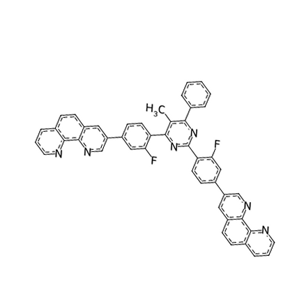 Cc1c(-c2ccccc2)nc(-c2ccc(-c3cnc4c(ccc5cccnc54)c3)cc2F)nc1-c1ccc(-c2cnc3c(ccc4cccnc43)c2)cc1F